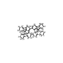 c1ccc2c(c1)oc1c3c(ccc12)-c1ccc2c(oc4ccccc42)c1-c1c(ccc2c1oc1ccccc12)-c1ccc2c(oc4ccccc42)c1-3